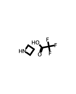 C1CNC1.O=C(O)C(F)(F)F